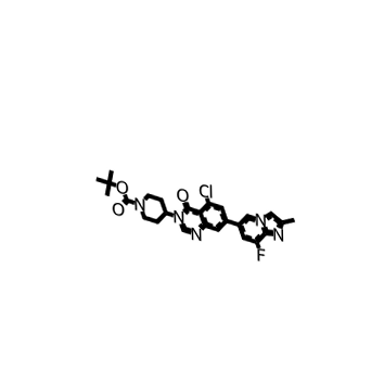 Cc1cn2cc(-c3cc(Cl)c4c(=O)n(C5CCN(C(=O)OC(C)(C)C)CC5)cnc4c3)cc(F)c2n1